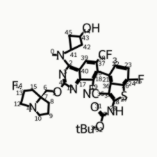 CN(c1nc(OC[C@@]23CCCN2C[C@H](F)C3)nc2c(F)c(-c3ccc(F)c4sc(NC(=O)OC(C)(C)C)c(C#N)c34)c(C(F)(F)F)cc12)C1CC(O)C1